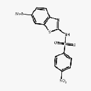 COc1ccc2nc(NS(=O)(=O)c3ccc([N+](=O)[O-])cc3)sc2c1